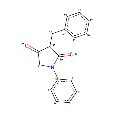 O=C1CN(c2ccccc2)C(=O)C1Cc1ccccc1